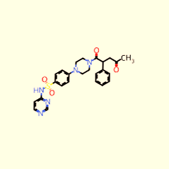 CC(=O)CC(C(=O)N1CCN(c2ccc(S(=O)(=O)Nc3ccncn3)cc2)CC1)c1ccccc1